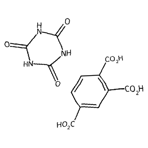 O=C(O)c1ccc(C(=O)O)c(C(=O)O)c1.O=c1[nH]c(=O)[nH]c(=O)[nH]1